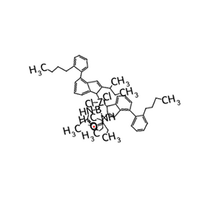 CCCCc1ccccc1-c1cccc2c1C=C(C(C)CC)[CH]2[Zr]([Cl])([Cl])([B](NC(=O)CC)NC(=O)CC)[CH]1C(C(C)CC)=Cc2c(-c3ccccc3CCCC)cccc21